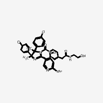 CCOc1cc(C(C)(C)C)ncc1C1=NC(C)(c2ccc(Cl)cc2)C(C)(c2ccc(Cl)cc2)N1C(=O)N1CCC(CC(=O)NCCO)CC1